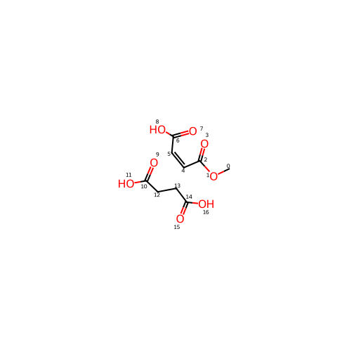 COC(=O)/C=C\C(=O)O.O=C(O)CCC(=O)O